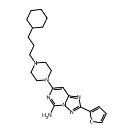 Nc1nc(N2CCN(CCCC3CCCCC3)CC2)cc2nc(-c3ccco3)nn12